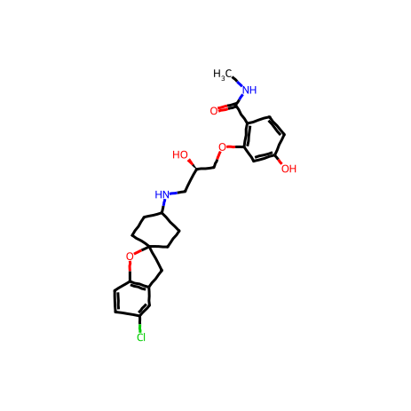 CNC(=O)c1ccc(O)cc1OC[C@H](O)CNC1CCC2(CC1)Cc1cc(Cl)ccc1O2